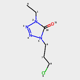 CCn1nnn(CCCCl)c1=O